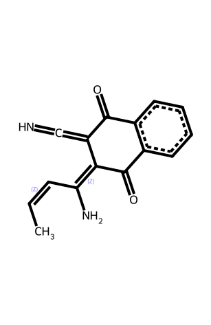 C/C=C\C(N)=C1\C(=O)c2ccccc2C(=O)C1=C=N